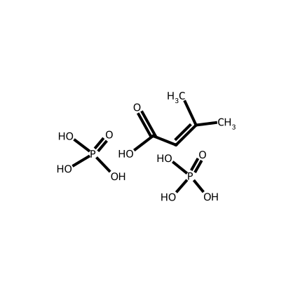 CC(C)=CC(=O)O.O=P(O)(O)O.O=P(O)(O)O